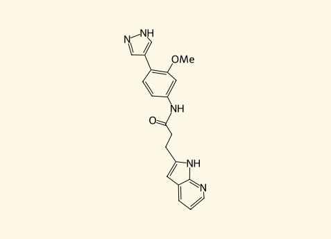 COc1cc(NC(=O)CCc2cc3cccnc3[nH]2)ccc1-c1cn[nH]c1